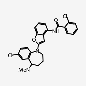 CNC1CCCN(c2cc3c(NC(=O)c4ccccc4Cl)cccc3o2)c2ccc(Cl)cc21